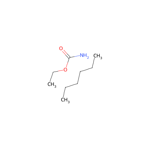 CCCCCC.CCOC(N)=O